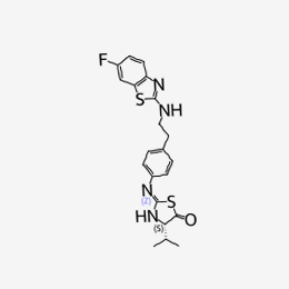 CC(C)[C@@H]1N/C(=N/c2ccc(CCNc3nc4ccc(F)cc4s3)cc2)SC1=O